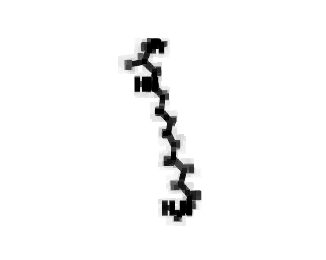 CC(C)C(C)CNCCCCCCCCCN